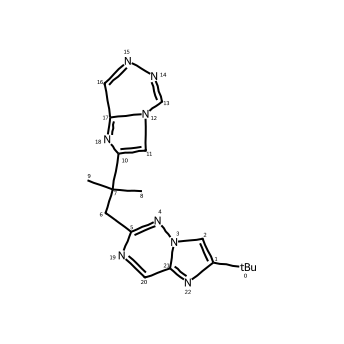 CC(C)(C)c1cn2nc(CC(C)(C)c3cn4cnncc4n3)ncc2n1